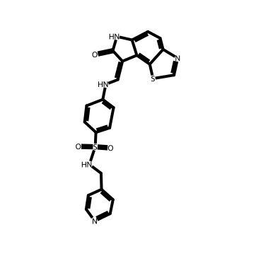 O=C1Nc2ccc3ncsc3c2/C1=C/Nc1ccc(S(=O)(=O)NCc2ccncc2)cc1